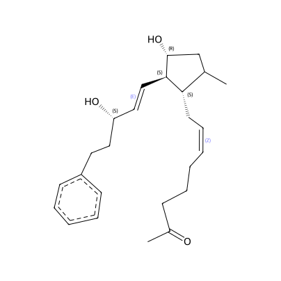 CC(=O)CCC/C=C\C[C@H]1C(C)C[C@@H](O)[C@@H]1/C=C/[C@@H](O)CCc1ccccc1